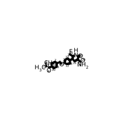 CN(C)C(=O)c1ccc(COc2ccc(-c3cc(C(N)=O)c(=O)[nH]c3CF)cc2)cc1